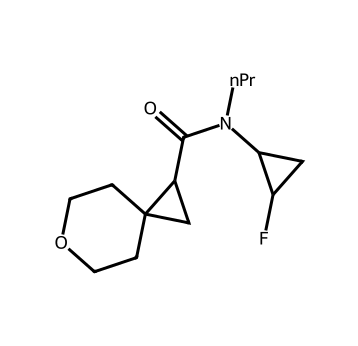 CCCN(C(=O)C1CC12CCOCC2)C1CC1F